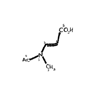 CC(=O)N(C)C=CC(=O)O